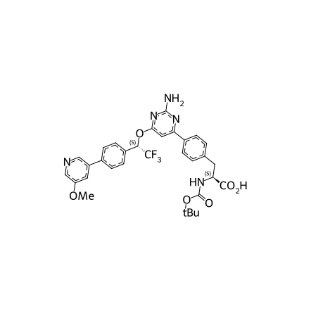 COc1cncc(-c2ccc([C@H](Oc3cc(-c4ccc(C[C@H](NC(=O)OC(C)(C)C)C(=O)O)cc4)nc(N)n3)C(F)(F)F)cc2)c1